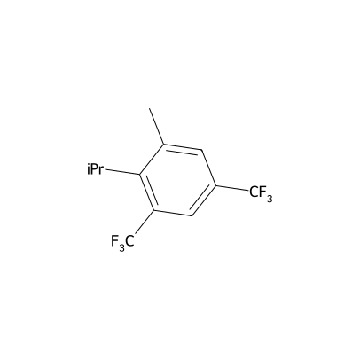 Cc1cc(C(F)(F)F)cc(C(F)(F)F)c1C(C)C